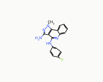 Cn1nc(N)c2c(Nc3ccc(F)cc3)nc3ccccc3c21